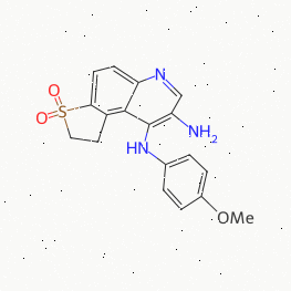 COc1ccc(Nc2c(N)cnc3ccc4c(c23)CCS4(=O)=O)cc1